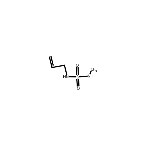 C=CCNS(=O)(=O)NC(F)(F)F